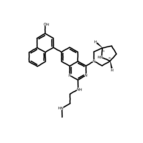 CNCCNc1nc(N2C[C@H]3CC[C@@H](C2)N3)c2ccc(-c3cc(O)cc4ccccc34)cc2n1